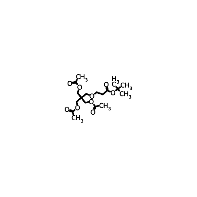 CC(=O)OCC(COCCC(=O)OC(C)(C)C)(COC(C)=O)COC(C)=O